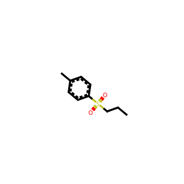 CC[CH]S(=O)(=O)c1ccc(C)cc1